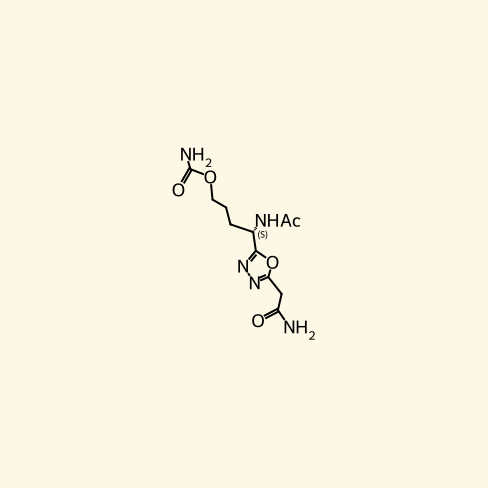 CC(=O)N[C@@H](CCCOC(N)=O)c1nnc(CC(N)=O)o1